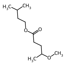 COC(C)CCC(=O)OCCC(C)C